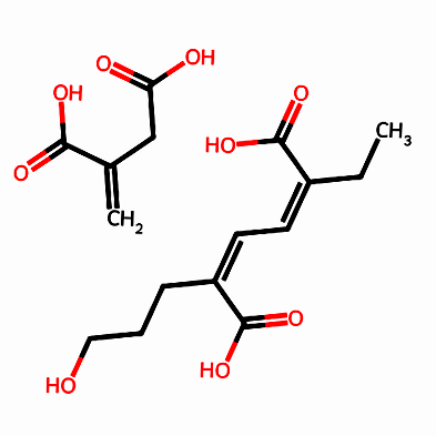 C=C(CC(=O)O)C(=O)O.CCC(=CC=C(CCCO)C(=O)O)C(=O)O